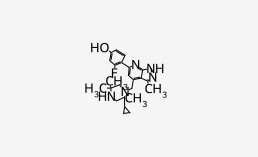 Cc1n[nH]c2nc(-c3ccc(O)cc3F)cc(CN3CC(C)(C)NC[C@@]3(C)C3CC3)c12